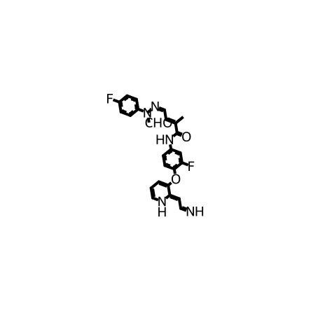 C/C(=C\C=N/N(C=O)c1ccc(F)cc1)C(=O)Nc1ccc(OC2=CC=CN/C2=C\C=N)c(F)c1